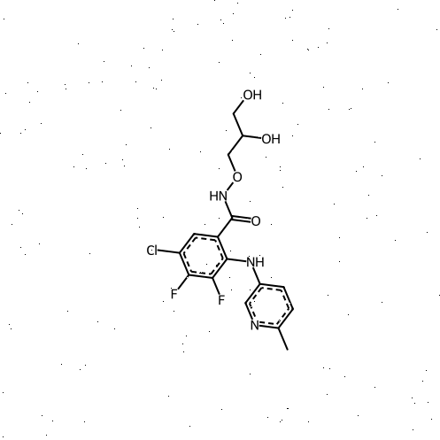 Cc1ccc(Nc2c(C(=O)NOCC(O)CO)cc(Cl)c(F)c2F)cn1